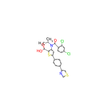 CC(C)N(C(=O)c1ccc(Cl)cc1Cl)c1cc(-c2ccc(-c3cscn3)cc2)sc1C(=O)O